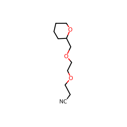 N#CCCOCCOCC1CCCCO1